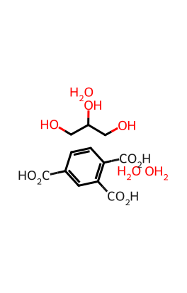 O.O.O.O=C(O)c1ccc(C(=O)O)c(C(=O)O)c1.OCC(O)CO